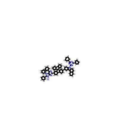 c1ccc(-c2nc(-c3ccccc3)nc(-n3c4ccc(-c5ccc6c(c5)C5(c7ccccc7-c7ccccc75)c5cc(-c7nc8c(c(-c9ccccc9)n7)N(c7ccccc7)C(c7ccccc7)N8)ccc5-6)cc4c4c5ccccc5ccc43)n2)cc1